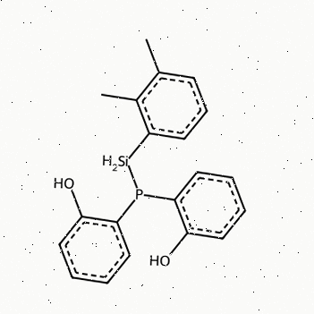 Cc1cccc([SiH2]P(c2ccccc2O)c2ccccc2O)c1C